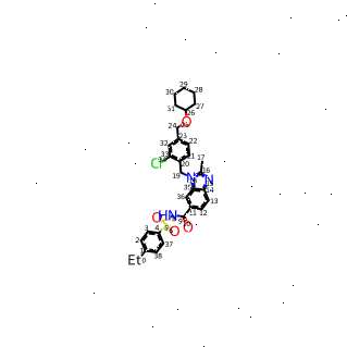 CCc1ccc(S(=O)(=O)NC(=O)c2ccc3nc(C)n(Cc4ccc(COC5CCCCC5)cc4Cl)c3c2)cc1